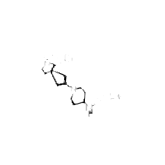 CCOC(=O)N1CCC2(CC(N3CCC(N(CC)C(=O)OCC)CC3)C2)C1